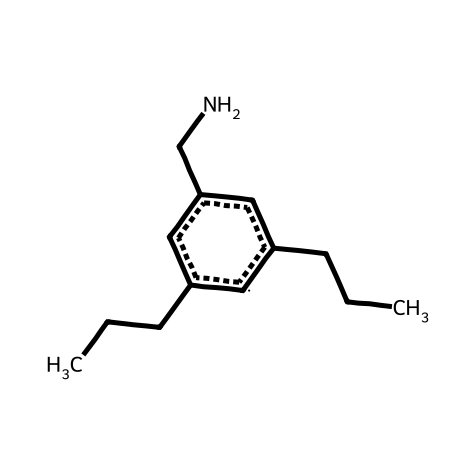 CCCc1[c]c(CCC)cc(CN)c1